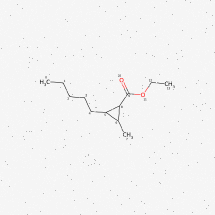 CCCCCC1C(C)C1C(=O)OCC